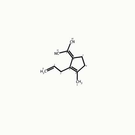 C=CCC1=C(C)CCC1=C(C#N)C#N